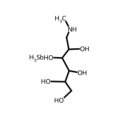 CNCC(O)C(O)C(O)C(O)CO.[SbH3]